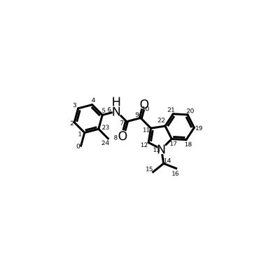 Cc1cccc(NC(=O)C(=O)c2cn(C(C)C)c3ccccc23)c1C